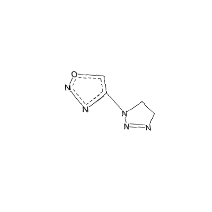 c1onnc1N1CCN=N1